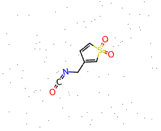 O=C=NCC1=CS(=O)(=O)C=C1